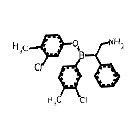 Cc1ccc(OB(c2ccc(C)c(Cl)c2)C(CN)c2ccccc2)cc1Cl